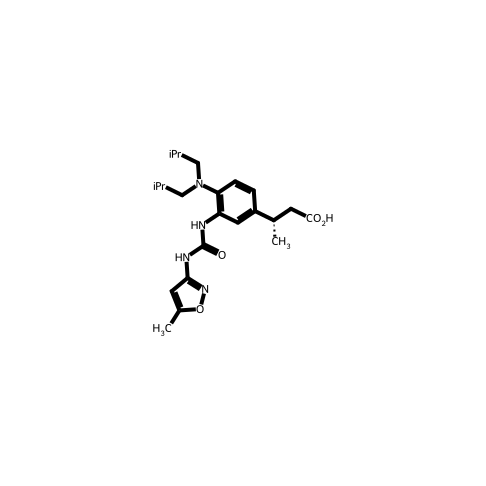 Cc1cc(NC(=O)Nc2cc([C@@H](C)CC(=O)O)ccc2N(CC(C)C)CC(C)C)no1